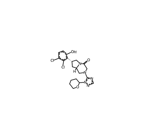 O=C1CN(c2ncnn2C2CCCCO2)C[C@@H]2C[C@H](c3c(O)ccc(Cl)c3Cl)CN12